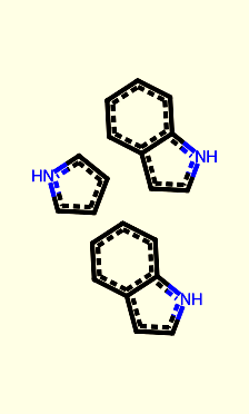 c1cc[nH]c1.c1ccc2[nH]ccc2c1.c1ccc2[nH]ccc2c1